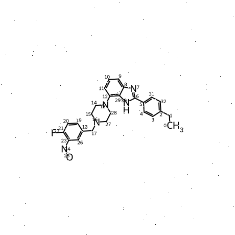 CCc1ccc(-c2nc3cccc(N4CCN(Cc5ccc(F)c(N=O)c5)CC4)c3[nH]2)cc1